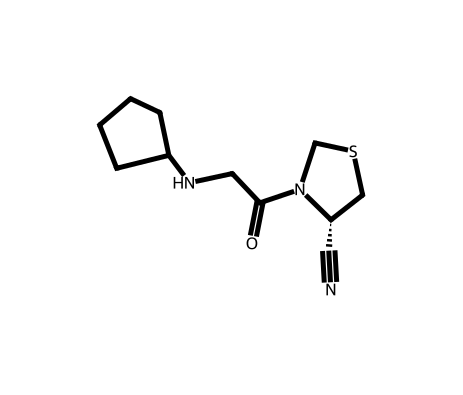 N#C[C@H]1CSCN1C(=O)CNC1CCCC1